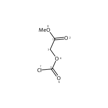 COC(=O)COC(=O)Cl